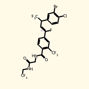 O=C(CNC(=O)c1ccc(/C(F)=C/C(c2ccc(Cl)c(Br)c2)C(F)(F)F)cc1C(F)(F)F)NCC(F)(F)F